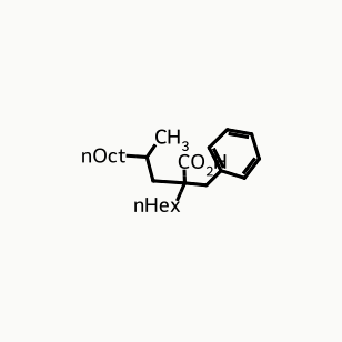 CCCCCCCCC(C)CC(CCCCCC)(Cc1ccccc1)C(=O)O